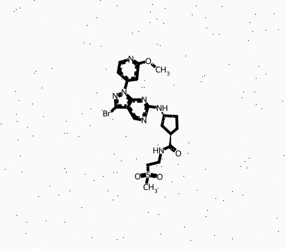 COc1cc(-n2nc(Br)c3cnc(N[C@@H]4CC[C@@H](C(=O)NCCS(C)(=O)=O)C4)nc32)ccn1